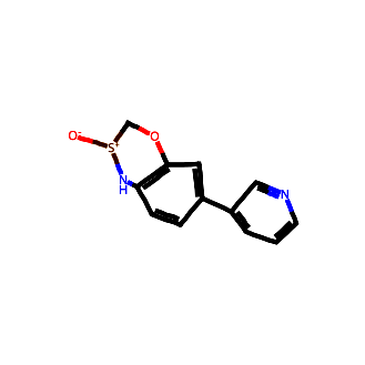 [O-][S+]1COc2cc(-c3cccnc3)ccc2N1